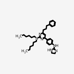 CCCCCCN(CCCCCC)c1nc(CCCc2ccccc2)cc(-c2ccc(NC3=NCCN3)cc2)n1